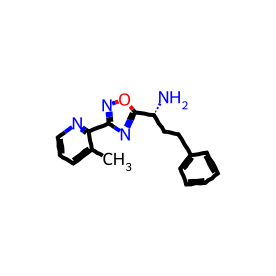 Cc1cccnc1-c1noc([C@H](N)CCc2ccccc2)n1